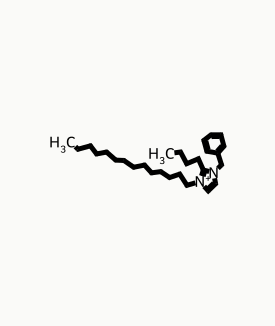 CCCCCCCCCCCCCC[n+]1ccn(Cc2ccccc2)c1CCCC